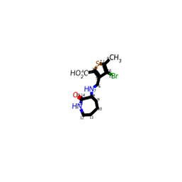 Cc1sc(C(=O)O)c(CNC2CCCCNC2=O)c1Br